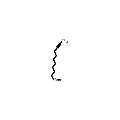 [CH2]C#CCCCCCCCCCCC[CH2]